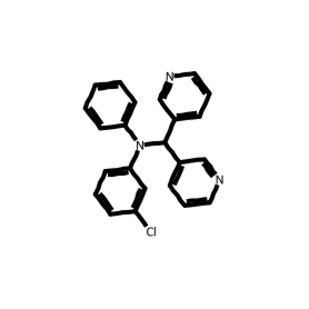 Clc1cccc(N(c2ccccc2)C(c2cccnc2)c2cccnc2)c1